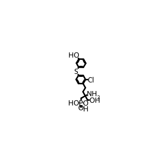 NC(CO)(CCc1ccc(Sc2cccc(O)c2)cc1Cl)CP(=O)(O)O